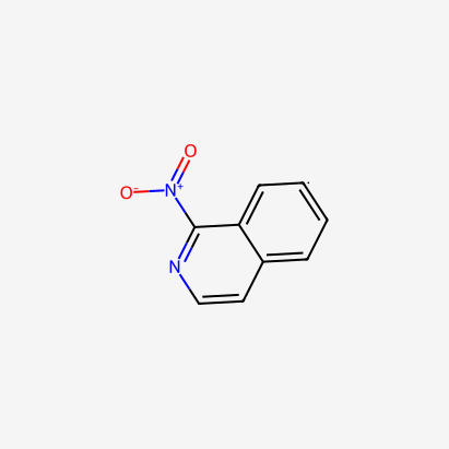 O=[N+]([O-])c1nccc2cc[c]cc12